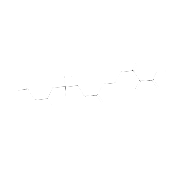 C=C(C)C(=O)C(=C)CCOC(=O)NCC(C)(C)CC(C)CNC(=O)O